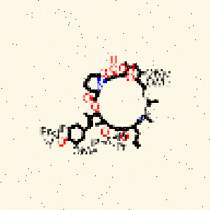 C=CCC1/C=C(\C)CC(C)CC(OC)C2OC(O)(C(C)CC2OC)C(O)C(=O)N2CCCCC2C(=O)OC(C(C)=CC2CCC(O[Si](C(C)C)(C(C)C)C(C)C)C(OC)C2)C(C)C(O[Si](C(C)C)(C(C)C)C(C)C)CC1=O